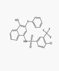 O=S(=O)(Nc1cc(Sc2ccccc2)c(O)c2ccccc12)c1ccc(Cl)c(C(F)(F)F)c1